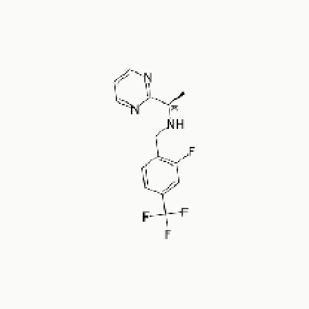 C[C@@H](NCc1ccc(C(F)(F)F)cc1F)c1ncccn1